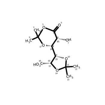 CC1(C)OC(=O)[C@H](O)[C@H]([C@@H]2OC(C)(C)O[C@@H]2C(=O)O)O1